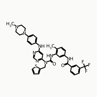 Cc1ccc(NC(=O)c2cccc(C(F)(F)F)c2)cc1NC(=O)N(Cc1cccs1)c1cc(Nc2ccc(N3CCN(C)CC3)cc2)ncn1